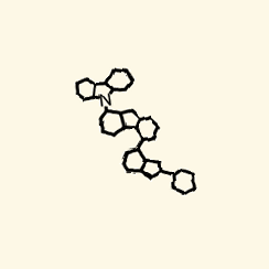 C1CCC(C2CC3CCCC(C4CCCC5CC6C(CCCC6N6C7CCCCC7C7CCCCC76)C54)C3C2)CC1